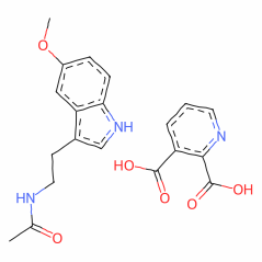 COc1ccc2[nH]cc(CCNC(C)=O)c2c1.O=C(O)c1cccnc1C(=O)O